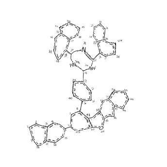 c1ccc2cc(-c3cc(-c4ccc(C5NC(c6cccc7ccccc67)=NC(c6cccc7ccccc67)N5)cc4)c4c(c3)oc3cc5ccccc5cc34)ccc2c1